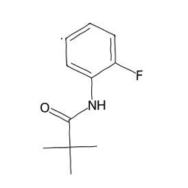 CC(C)(C)C(=O)Nc1c[c]ccc1F